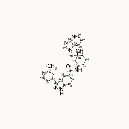 Cc1cc(-c2n[nH]c3ccc(C(=O)N[C@@H]4CCC[C@@](O)(Cn5cnc6ncccc65)C4)cc23)ccn1